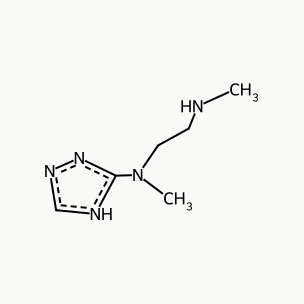 CNCCN(C)c1nnc[nH]1